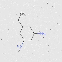 CCC1CC(N)CC(N)C1